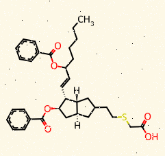 CCCCCC(C=C[C@@H]1[C@@H]2CC(CCSCC(=O)O)C[C@H]2C[C@H]1OC(=O)c1ccccc1)OC(=O)c1ccccc1